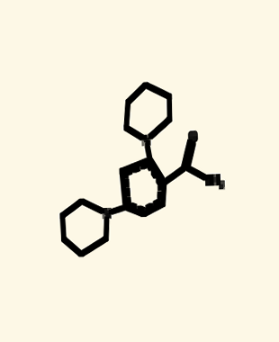 NC(=O)c1ccc(N2CCCCC2)cc1N1CCCCC1